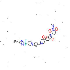 CC(C)c1cnc(C(F)(F)C2CCN(c3ccc(CN4CCC(O)(c5ccc6c(c5)CN(C5CCC(=O)NC5=O)C6=O)CC4)cc3)CC2)nc1